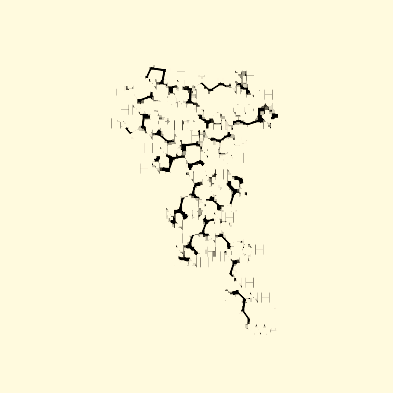 CSCC[C@H](N)C(=O)NCC(=O)N[C@@H](CO)C(=O)N[C@@H](Cc1c[nH]cn1)C(=O)N[C@@H](Cc1c[nH]cn1)C(=O)N[C@@H](Cc1c[nH]cn1)C(=O)N[C@@H](Cc1c[nH]cn1)C(=O)N[C@@H](CO)C(=O)NCC(=O)N[C@@H](CC(C)C)C(=O)N[C@H](C(=O)N1CCC[C@H]1C(=O)N[C@@H](CCCNC(=N)N)C(=O)NCC(=O)N[C@@H](CO)C(=O)N[C@@H](Cc1c[nH]cn1)C(=O)O)C(C)C